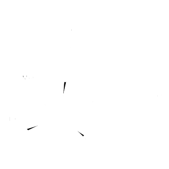 COc1cc(Cl)c(Cc2ccc(C(C)C)cc2)cc1[C@@H]1S[C@H](CO)C[C@H](O)[C@H]1O